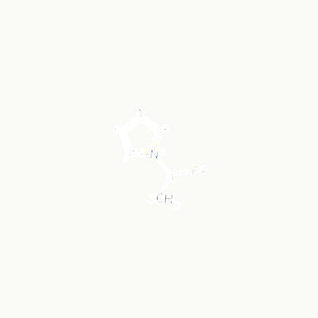 CC(F)n1cccc1